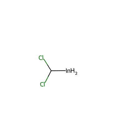 Cl[CH](Cl)[InH2]